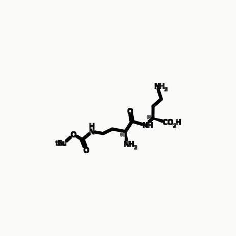 CC(C)(C)OC(=O)NCC[C@H](N)C(=O)N[C@@H](CCN)C(=O)O